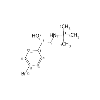 CC(C)(C)NC[C@@H](O)c1ccc(Br)cc1